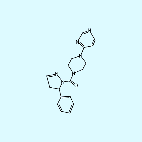 O=C(N1CCN(c2ccncn2)CC1)N1N=CCC1c1ccccc1